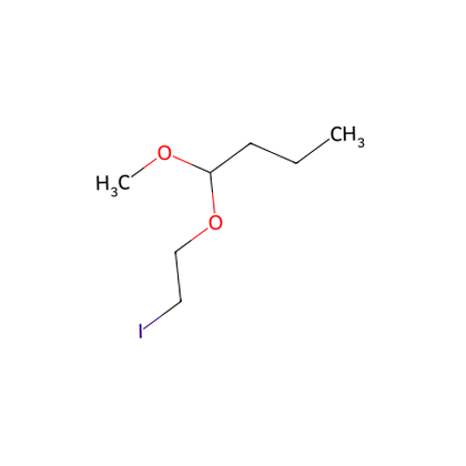 CCCC(OC)OCCI